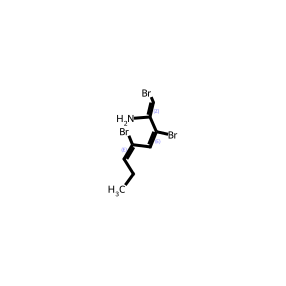 CC\C=C(Br)/C=C(Br)\C(N)=C\Br